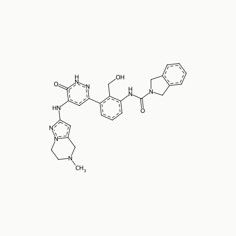 CN1CCn2nc(Nc3cc(-c4cccc(NC(=O)N5Cc6ccccc6C5)c4CO)n[nH]c3=O)cc2C1